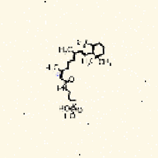 CC(C=CC1=C(C)CCCC1(C)C)=CC=C/C(C)=C\C(=O)NCCOP(=O)(O)O